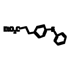 CCOC(=O)CCc1ccc(Sc2ccccc2)cc1